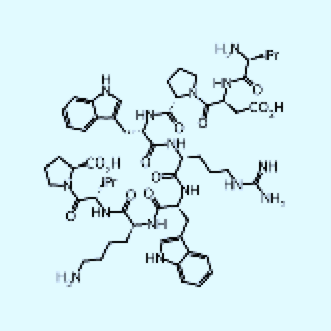 CC(C)[C@H](N)C(=O)N[C@@H](CC(=O)O)C(=O)N1CCC[C@H]1C(=O)N[C@@H](Cc1c[nH]c2ccccc12)C(=O)N[C@@H](CCCNC(=N)N)C(=O)N[C@@H](Cc1c[nH]c2ccccc12)C(=O)N[C@@H](CCCCN)C(=O)N[C@H](C(=O)N1CCC[C@H]1C(=O)O)C(C)C